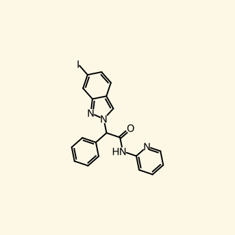 O=C(Nc1ccccn1)C(c1ccccc1)n1cc2ccc(I)cc2n1